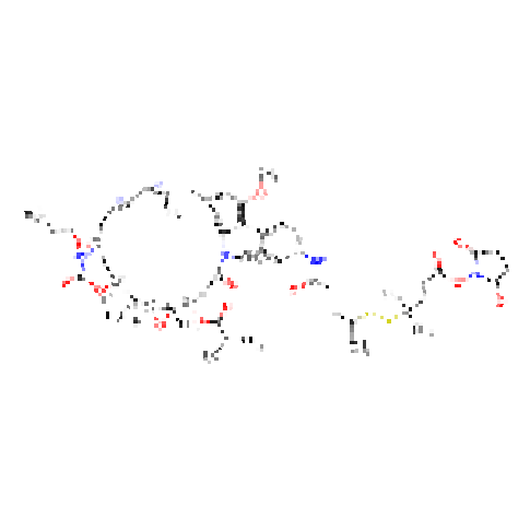 CCCO[C@]12C/C=C/C=C(\C)Cc3cc(OC)c(-c4ccc(NC(=O)CCC(C)SSC(C)(C)CCC(=O)ON5C(=O)CCC5=O)cc4)c(c3)N(C)C(=O)C[C@H](OC(=O)C(C)C)[C@]3(C)O[C@H]3[C@H](C)[C@H](C1)OC(=O)N2